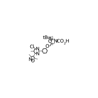 Cc1noc(C)c1-c1nc(-c2cccc(OC[C@H](CN(C)C(=O)O)O[Si](C)(C)C(C)(C)C)c2)nc(Cl)c1C